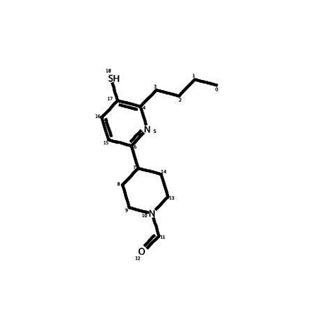 CCCCc1nc(C2CCN(C=O)CC2)ccc1S